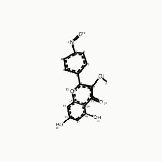 COc1c(-c2ccc(N=O)cc2)oc2cc(O)cc(O)c2c1=O